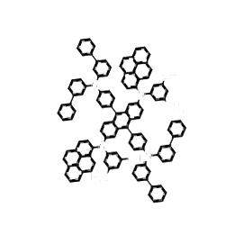 Cc1cc(C)cc(N(c2ccc3c(-c4ccc(N(c5cccc(-c6ccccc6)c5)c5cccc(-c6ccccc6)c5)cc4)c4cc(N(c5cc(C)cc(C)c5)c5ccc6ccc7cccc8ccc5c6c78)ccc4c(-c4ccc(N(c5cccc(-c6ccccc6)c5)c5cccc(-c6ccccc6)c5)cc4)c3c2)c2ccc3ccc4cccc5ccc2c3c45)c1